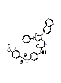 COc1ccc(S(=O)(=O)Oc2ccc(NC(=O)/C=C\c3cn(-c4ccccc4)nc3-c3ccc4ccccc4c3)cc2)cc1